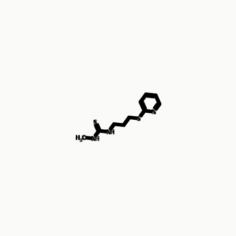 CNC(=S)NCCCSc1ccccn1